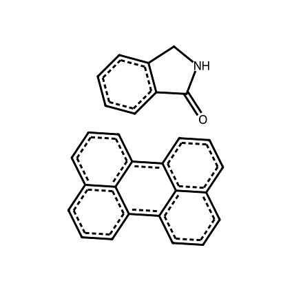 O=C1NCc2ccccc21.c1cc2cccc3c4cccc5cccc(c(c1)c23)c54